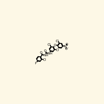 O=C(NC(=O)c1ccc(F)cc1Cl)Nc1cc(Cl)c(Oc2ccc([N+](=O)[O-])cc2Cl)c(Cl)c1